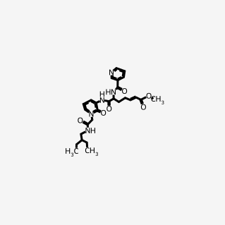 CCC(CC)CNC(=O)Cn1cccc(NC(=O)C(CCC=CC(=O)OC)NC(=O)c2cccnc2)c1=O